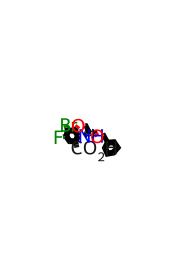 O=C(O)c1cc(F)c(Br)c2c1N[C@@H](COCc1ccccc1)CO2